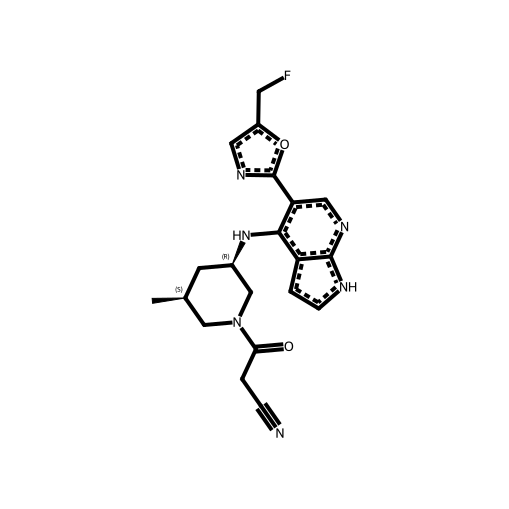 C[C@H]1C[C@@H](Nc2c(-c3ncc(CF)o3)cnc3[nH]ccc23)CN(C(=O)CC#N)C1